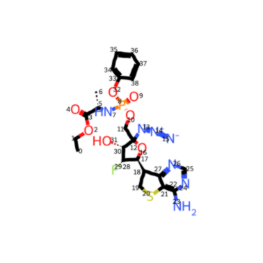 CCOC(=O)[C@H](C)NP(=O)(OCC1(N=[N+]=[N-])O[C@@H](C2CSc3c(N)ncnc32)[C@H](F)[C@@H]1O)Oc1ccccc1